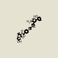 C[C@@H]1C[C@@H](O)CN1C(=O)[C@@H](NC(=O)c1ccc(N2CC(n3cc(-c4cc(-c5ccccc5O)nnc4N)cn3)C2)cc1)C(C)(C)C